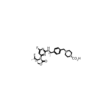 C[C@H](Nc1nc(F)cc(N2C(=O)OC[C@@H]2[C@H](C)F)n1)c1ccc(CN2CCN(C(=O)O)CC2)cc1